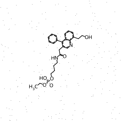 CCOP(=O)(O)OCCCCNC(=O)Cc1cnc2c(CCO)cccc2c1-c1ccccc1